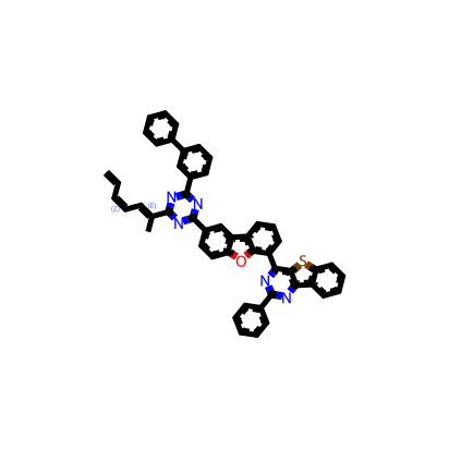 C=C/C=C\C=C(/C)c1nc(-c2cccc(-c3ccccc3)c2)nc(-c2ccc3oc4c(-c5nc(-c6ccccc6)nc6c5sc5ccccc56)cccc4c3c2)n1